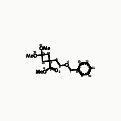 COC(=O)C1(CCOCc2ccccc2)CC(OC)(OC)C1